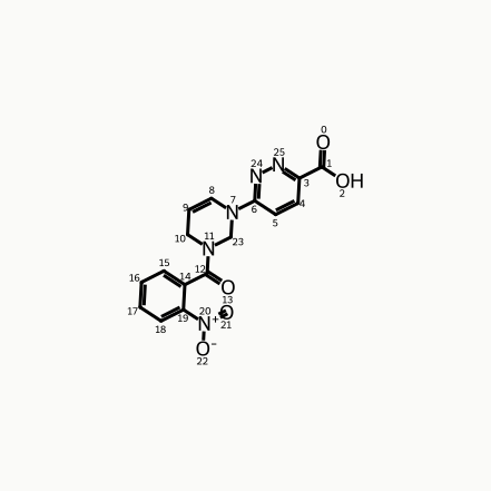 O=C(O)c1ccc(N2C=CCN(C(=O)c3ccccc3[N+](=O)[O-])C2)nn1